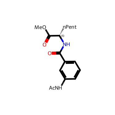 CCCCC[C@H](NC(=O)c1cccc(NC(C)=O)c1)C(=O)OC